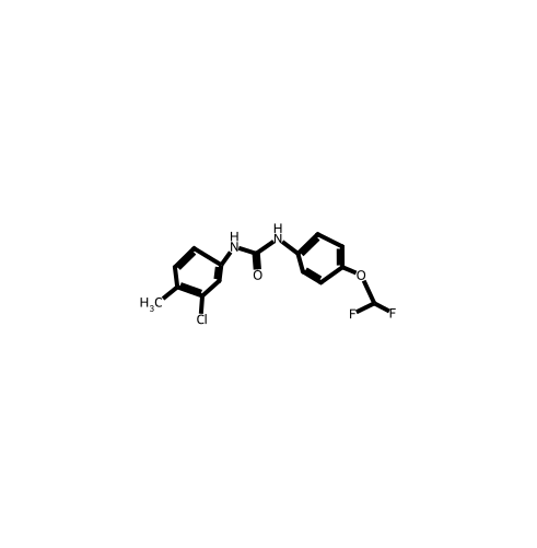 Cc1ccc(NC(=O)Nc2ccc(OC(F)F)cc2)cc1Cl